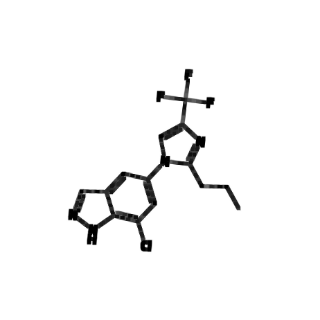 CCCc1nc(C(F)(F)F)cn1-c1cc(Cl)c2[nH]ncc2c1